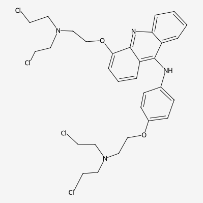 ClCCN(CCCl)CCOc1ccc(Nc2c3ccccc3nc3c(OCCN(CCCl)CCCl)cccc23)cc1